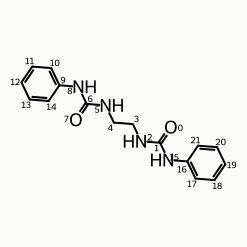 O=C(NCCNC(=O)Nc1ccccc1)Nc1ccccc1